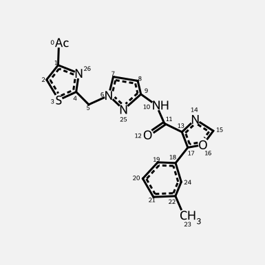 CC(=O)c1csc(Cn2ccc(NC(=O)c3ncoc3-c3cccc(C)c3)n2)n1